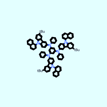 CC(C)(C)c1ccc2c(c1)c1cc(N(c3ccccc3)c3cc(N(c4ccccc4)c4ccc5c(c4)c4c(n5-c5cccc6ccccc56)C=CC(C(C)(C)C)C4)cc(N(c4ccccc4)c4ccc5c(c4)c4cc(C(C)(C)C)ccc4n5-c4cccc5ccccc45)c3)ccc1n2-c1cccc2ccccc12